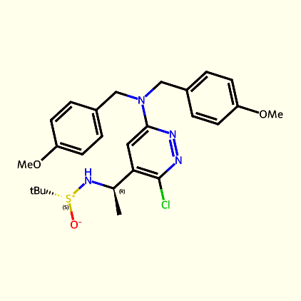 COc1ccc(CN(Cc2ccc(OC)cc2)c2cc([C@@H](C)N[S@+]([O-])C(C)(C)C)c(Cl)nn2)cc1